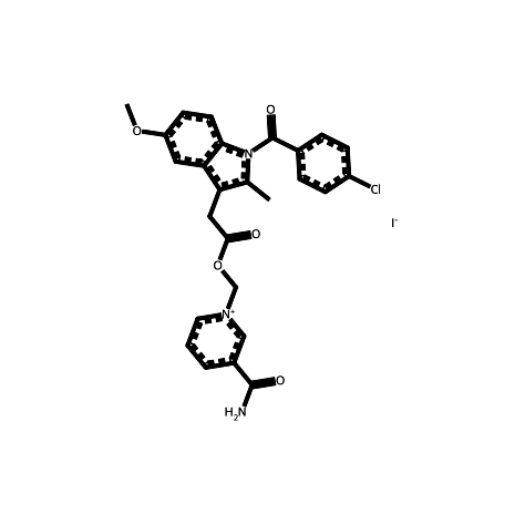 COc1ccc2c(c1)c(CC(=O)OC[n+]1cccc(C(N)=O)c1)c(C)n2C(=O)c1ccc(Cl)cc1.[I-]